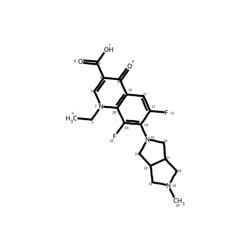 CCn1cc(C(=O)O)c(=O)c2cc(F)c(N3CC4CN(C)CC4C3)c(F)c21